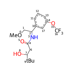 COCC(NC(=O)CC(O)C(C)(C)C)c1cccc(OC(F)(F)F)c1